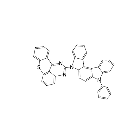 c1ccc(-n2c3ccccc3c3c4c5ccccc5n(-c5nc6c7c(cccc7n5)Sc5ccccc5-6)c4ccc32)cc1